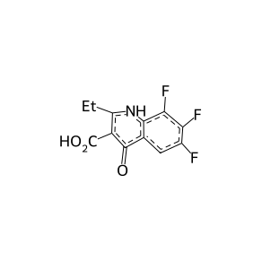 CCc1[nH]c2c(F)c(F)c(F)cc2c(=O)c1C(=O)O